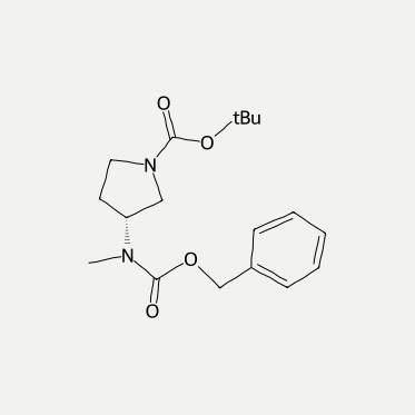 CN(C(=O)OCc1ccccc1)[C@@H]1CCN(C(=O)OC(C)(C)C)C1